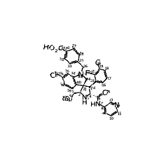 CC(C)(C)C[C@@H]1N[C@@H](C(=O)Nc2cccnc2)[C@H](c2cccc(Cl)c2F)[C@]12CN(Cc1ccc(C(=O)O)cc1)c1cc(Cl)ccc12